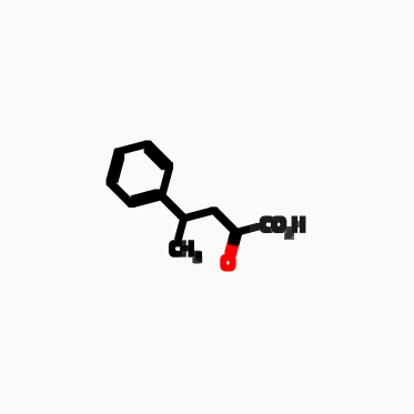 CC(CC(=O)C(=O)O)c1ccccc1